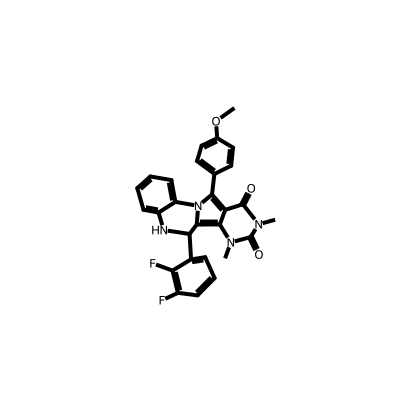 COc1ccc(-c2c3c(=O)n(C)c(=O)n(C)c3c3n2-c2ccccc2NC3c2cccc(F)c2F)cc1